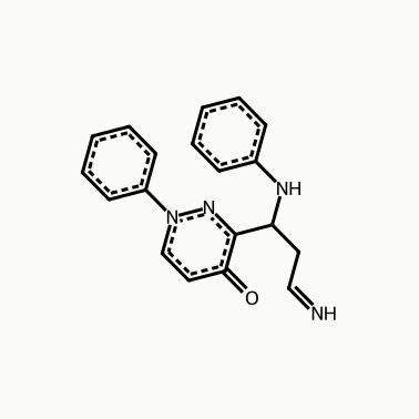 N=CCC(Nc1ccccc1)c1nn(-c2ccccc2)ccc1=O